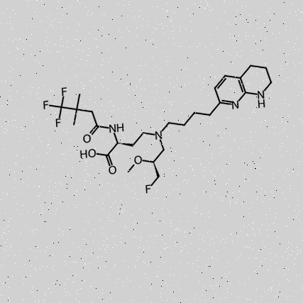 CO[C@H](CF)CN(CCCCc1ccc2c(n1)NCCC2)CC[C@H](NC(=O)CC(C)(C)C(F)(F)F)C(=O)O